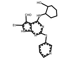 CCc1[nH]c2nc(Sc3cccnc3)nc(NC3CCCCC3O)c2c1C=O